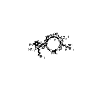 N=C(N)NCCC[C@@H]1NC(=O)CNC(=O)[C@H](N)CSSC[C@@H](C(=O)N[C@@H](Cc2ccc(O)cc2)C(=O)N[C@@H](CCCCN)C(=O)O)NC(=O)[C@@H]2CCCN2C(=O)[C@H](CO)NC(=O)[C@H](CC(=O)O)NC1=O